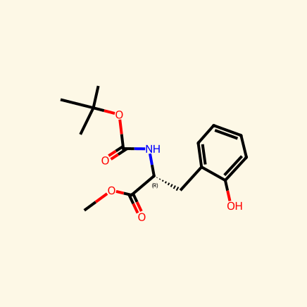 COC(=O)[C@@H](Cc1ccccc1O)NC(=O)OC(C)(C)C